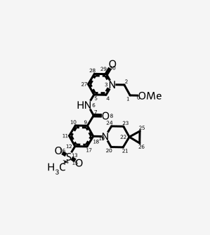 COCCn1cc(NC(=O)c2ccc(S(C)(=O)=O)cc2N2CCC3(CC2)CC3)ccc1=O